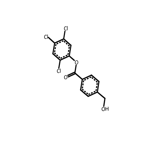 O=C(Oc1cc(Cl)c(Cl)cc1Cl)c1ccc(CO)cc1